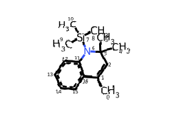 CC1=CC(C)(C)N([Si](C)(C)C)c2ccccc21